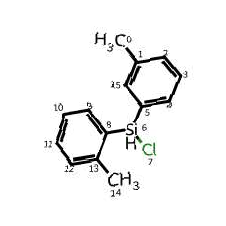 Cc1cccc([SiH](Cl)c2ccccc2C)c1